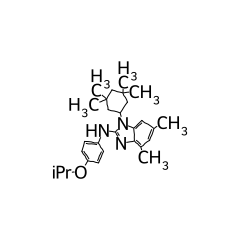 Cc1cc(C)c2nc(Nc3ccc(OC(C)C)cc3)n(C3CC(C)(C)CC(C)(C)C3)c2c1